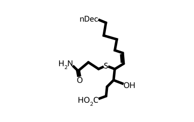 CCCCCCCCCCCCCC/C=C\C(SCCC(N)=O)C(O)CCC(=O)O